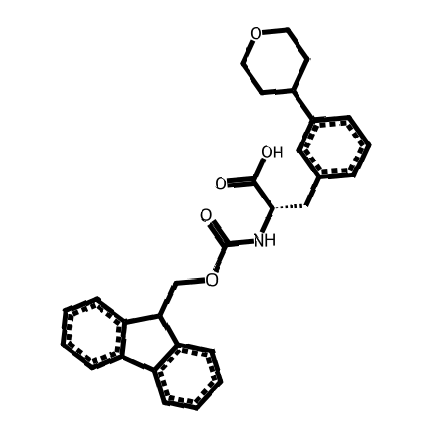 O=C(N[C@@H](Cc1cccc(C2CCOCC2)c1)C(=O)O)OCC1c2ccccc2-c2ccccc21